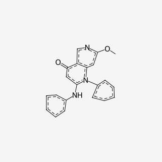 COc1cc2c(cn1)c(=O)cc(Nc1ccccc1)n2-c1ccccc1